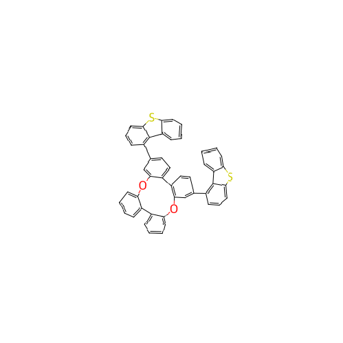 c1ccc2c(c1)Oc1cc(-c3cccc4sc5ccccc5c34)ccc1-c1ccc(-c3cccc4sc5ccccc5c34)cc1Oc1ccccc1-2